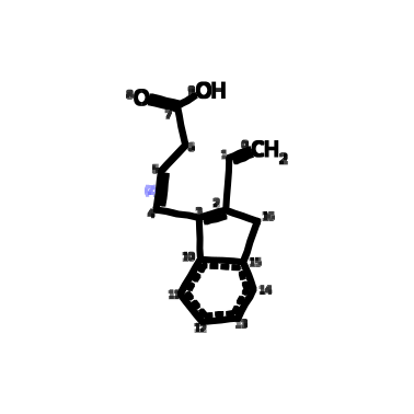 C=CC1=C(/C=C\CC(=O)O)c2ccccc2C1